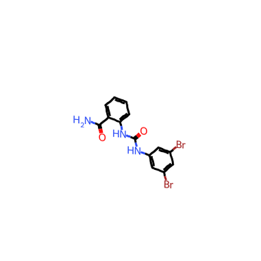 NC(=O)c1ccccc1NC(=O)Nc1cc(Br)cc(Br)c1